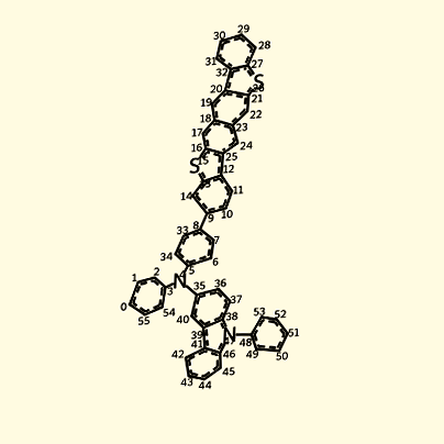 c1ccc(N(c2ccc(-c3ccc4c(c3)sc3cc5cc6c(cc5cc34)sc3ccccc36)cc2)c2ccc3c(c2)c2ccccc2n3-c2ccccc2)cc1